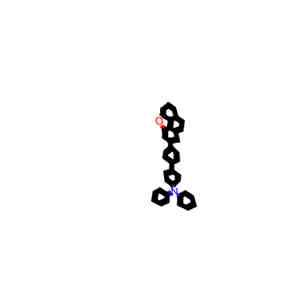 c1ccc(N(c2ccccc2)c2ccc(-c3ccc(-c4cc5ccc6cccc7oc(c4)c5c67)cc3)cc2)cc1